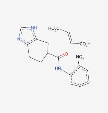 O=C(Nc1ccccc1[N+](=O)[O-])C1CCc2nc[nH]c2C1.O=C(O)C=CC(=O)O